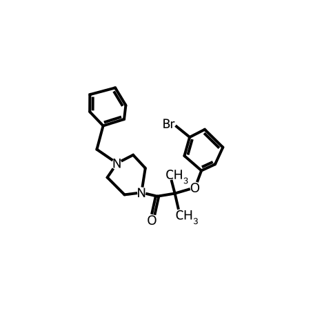 CC(C)(Oc1cccc(Br)c1)C(=O)N1CCN(Cc2ccccc2)CC1